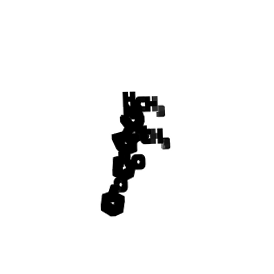 CC1Cc2c(c3ccc(-n4ccc(OCc5ccccc5)cc4=O)cc3n2C)CN1